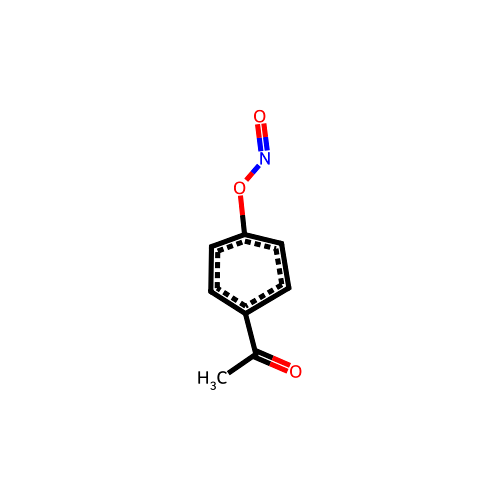 CC(=O)c1ccc(ON=O)cc1